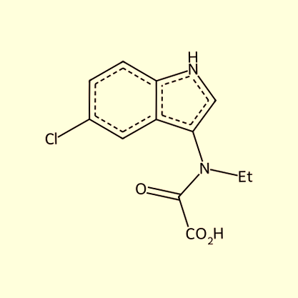 CCN(C(=O)C(=O)O)c1c[nH]c2ccc(Cl)cc12